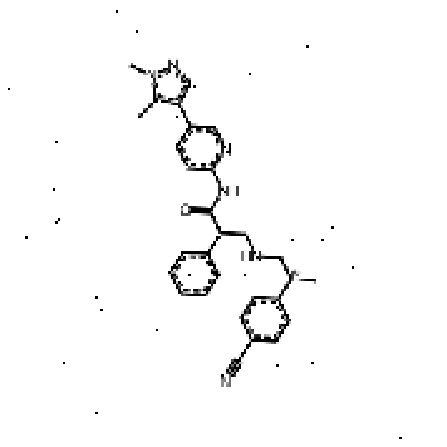 Cc1c(-c2ccc(NC(=O)C(CNC[C@@H](C)c3ccc(C#N)cc3)c3ccccc3)nc2)cnn1C